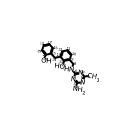 Cc1nc(N)nc(NCc2cccc(Cc3ccccc3O)c2O)n1